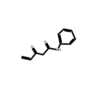 C=CC(=O)CC(=O)Nc1ccccc1